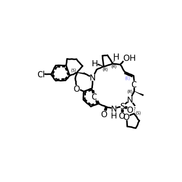 C[C@@H]1C/C=C/C(O)[C@@H]2CC[C@H]2CN2C[C@@]3(CCCc4cc(Cl)ccc43)COc3ccc(cc32)C(=O)NS(=O)(=O)N1C[C@@H]1CCCO1